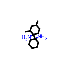 CC1CCC(N)(C2(N)CCCCC2)C(C)C1